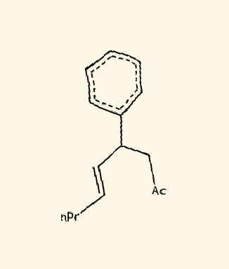 CCCC=CC(CC(C)=O)c1ccccc1